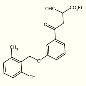 CCOC(=O)C(C=O)CC(=O)c1cccc(OCc2c(C)cccc2C)c1